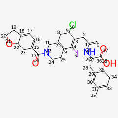 C=C(CC1=C(I)C2=C(CC1Cl)CN(C(=O)C1=CC=C3CCOC3C1)CC2)N[C@@H](CC1=CC(C)=CCC1)C(=O)O